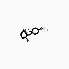 NC1CCC(N)(Cc2ccccc2F)CC1